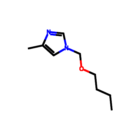 CCCCOCn1cnc(C)c1